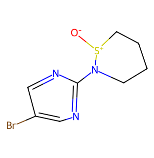 [O-][S+]1CCCCN1c1ncc(Br)cn1